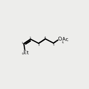 CC/C=C\CCCOC(C)=O